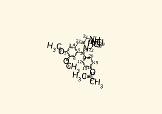 COc1cc2c(cc1OC)C(c1ccc(OC(C)C)cc1)N1CCNCC1C2.Cl.Cl